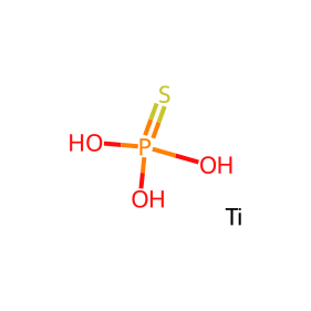 OP(O)(O)=S.[Ti]